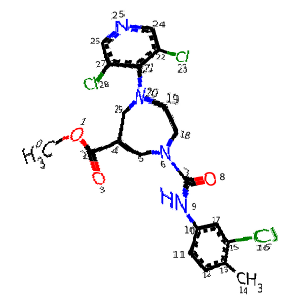 COC(=O)C1CN(C(=O)Nc2ccc(C)c(Cl)c2)CCN(c2c(Cl)cncc2Cl)C1